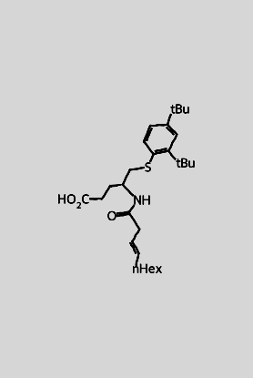 CCCCCC/C=C/CC(=O)N[C@@H](CCC(=O)O)CSc1ccc(C(C)(C)C)cc1C(C)(C)C